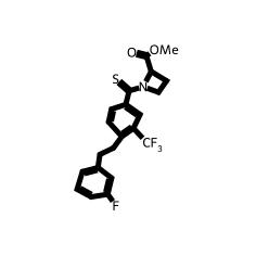 COC(=O)C1CCN1C(=S)c1ccc(CCc2cccc(F)c2)c(C(F)(F)F)c1